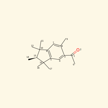 CC(=O)c1cc2c(cc1C)C(C)(C)[C@H](C)C2(C)C